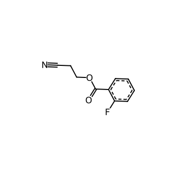 N#CCCOC(=O)c1ccccc1F